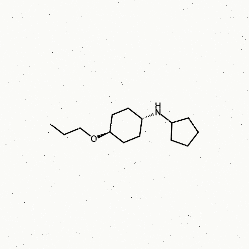 CCCO[C@H]1CC[C@H](NC2CCCC2)CC1